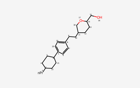 CCCC1CCC(c2ccc(CCC3CCC(CO)OC3)cc2)CC1